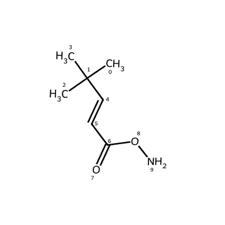 CC(C)(C)/C=C/C(=O)ON